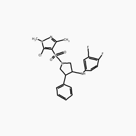 Cc1nn(C)c(Cl)c1S(=O)(=O)N1CC(Nc2ccc(F)c(F)c2)C(c2ccccc2)C1